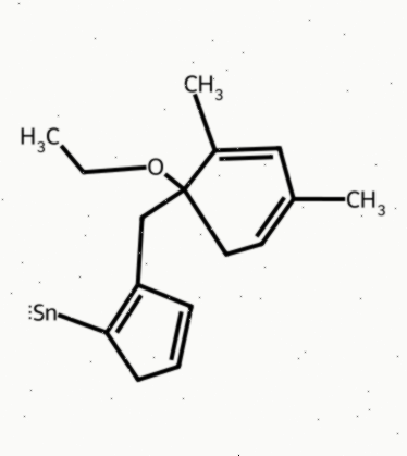 CCOC1(CC2=[C]([Sn])CC=C2)CC=C(C)C=C1C